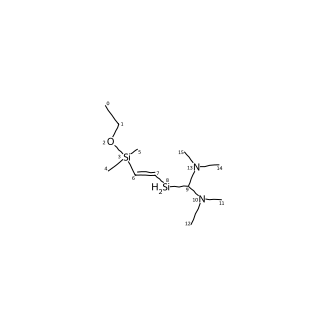 CCO[Si](C)(C)C=C[SiH2]C(N(C)C)N(C)C